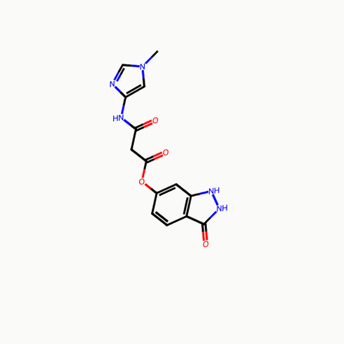 Cn1cnc(NC(=O)CC(=O)Oc2ccc3c(=O)[nH][nH]c3c2)c1